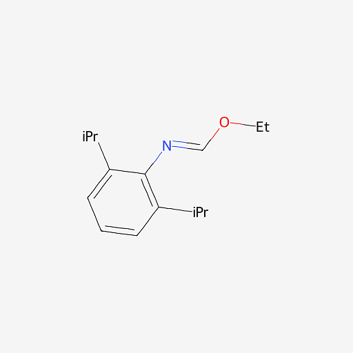 CCOC=Nc1c(C(C)C)cccc1C(C)C